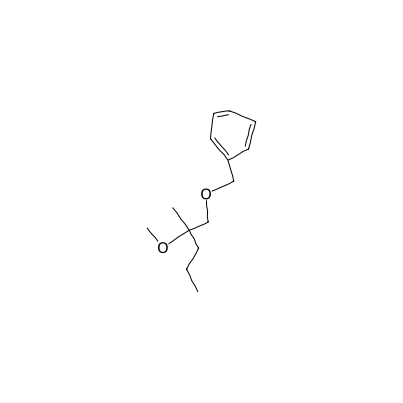 CCCC(C)(COCc1ccccc1)OC